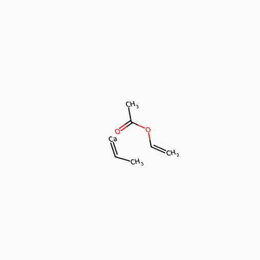 C=COC(C)=O.C[CH]=[Ca]